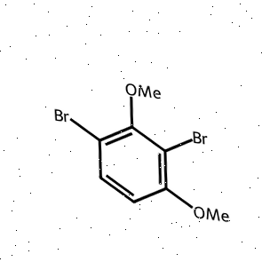 COc1ccc(Br)c(OC)c1Br